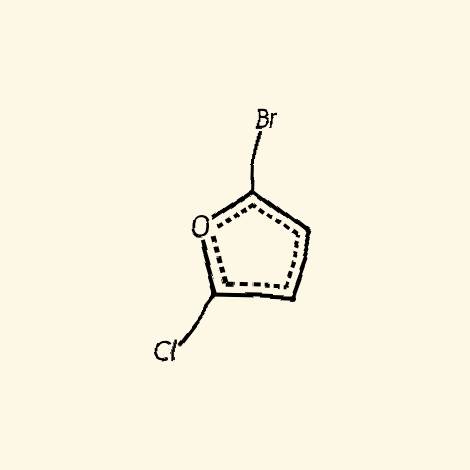 Clc1ccc(Br)o1